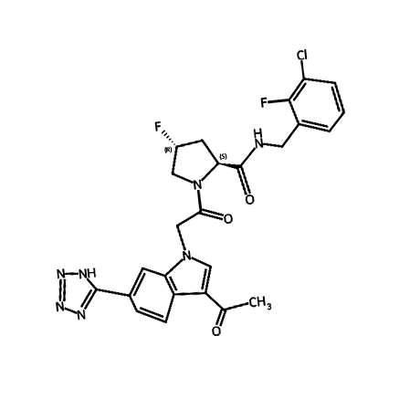 CC(=O)c1cn(CC(=O)N2C[C@H](F)C[C@H]2C(=O)NCc2cccc(Cl)c2F)c2cc(-c3nnn[nH]3)ccc12